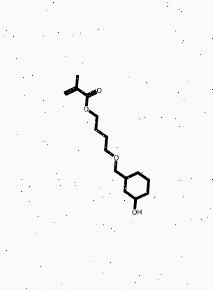 C=C(C)C(=O)OCCCCOCC1CCCC(O)C1